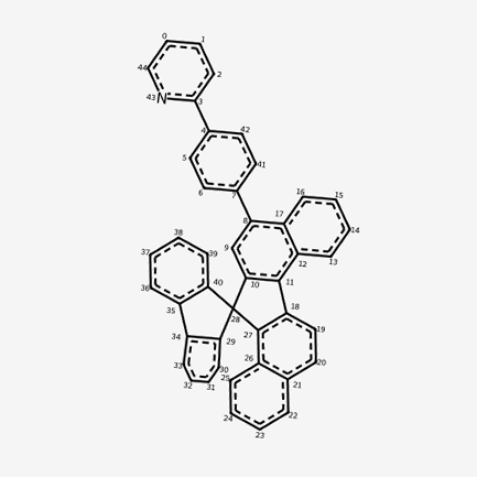 c1ccc(-c2ccc(-c3cc4c(c5ccccc35)-c3ccc5ccccc5c3C43c4ccccc4-c4ccccc43)cc2)nc1